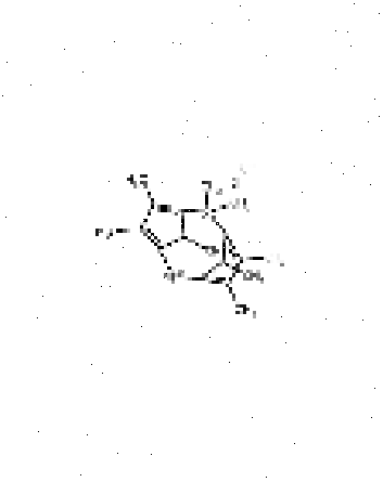 CC1=[C]2[Hf+2][C]3=C(C)C(C)=C(C3C)[Si](C)(C)C(=C1C)C2C.[Cl-].[Cl-]